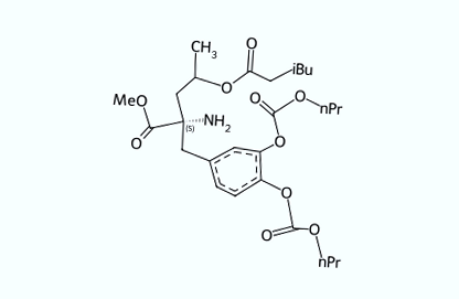 CCCOC(=O)Oc1ccc(C[C@](N)(CC(C)OC(=O)CC(C)CC)C(=O)OC)cc1OC(=O)OCCC